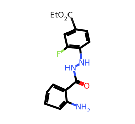 CCOC(=O)c1ccc(NNC(=O)c2ccccc2N)c(F)c1